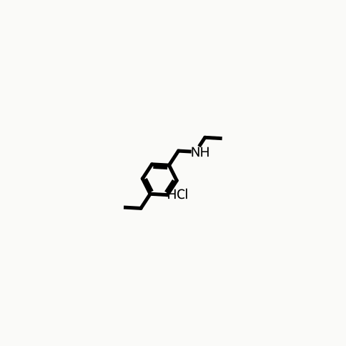 CCNCc1ccc(CC)cc1.Cl